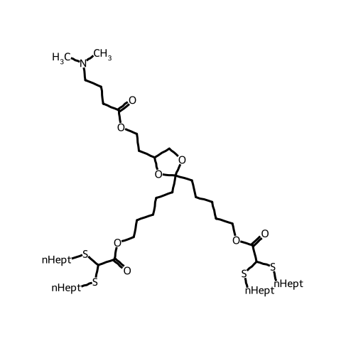 CCCCCCCSC(SCCCCCCC)C(=O)OCCCCCC1(CCCCCOC(=O)C(SCCCCCCC)SCCCCCCC)OCC(CCOC(=O)CCCN(C)C)O1